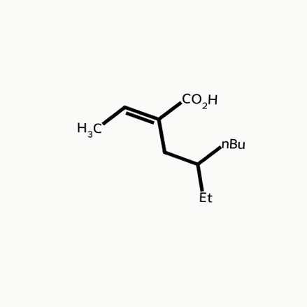 C/C=C(\CC(CC)CCCC)C(=O)O